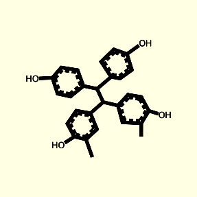 Cc1cc(C(c2ccc(O)c(C)c2)C(c2ccc(O)cc2)c2ccc(O)cc2)ccc1O